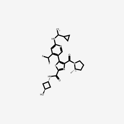 C[C@H]1CCCN1C(=O)c1nc(C(=O)N[C@H]2C[C@H](O)C2)sc1-c1cnc(NC(C2CC2)C(F)(F)F)cc1C(F)F